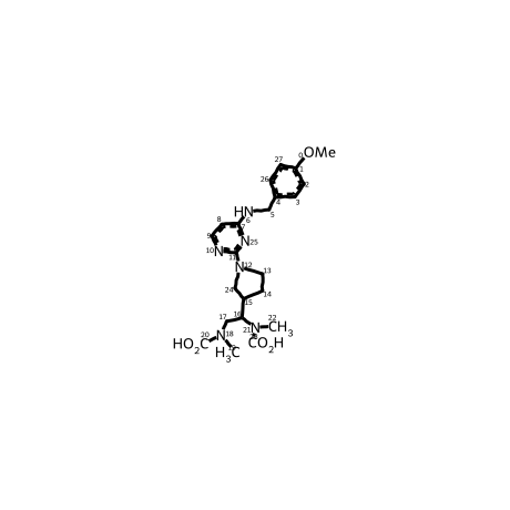 COc1ccc(CNc2ccnc(N3CCC(C(CN(C)C(=O)O)N(C)C(=O)O)C3)n2)cc1